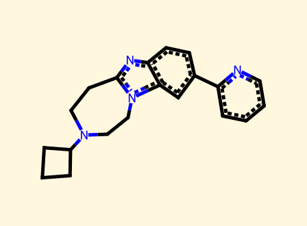 c1ccc(-c2ccc3nc4n(c3c2)CCN(C2CCC2)CC4)nc1